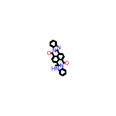 CC12Nc3ccccc3N1C(=O)c1ccc3c4c1c2ccc4c(=O)n1c2ccccc2nc31